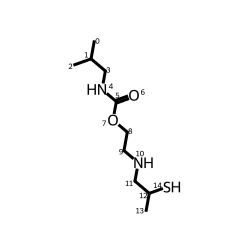 CC(C)CNC(=O)OCCNCC(C)S